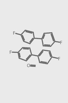 C=O.Fc1ccc(-c2ccc(F)cc2)cc1.Fc1ccc(-c2ccc(F)cc2)cc1